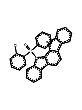 O=P(c1ccccc1)(c1ccccc1Cl)n1c2ccccc2c2ccc3c4ccccc4[nH]c3c21